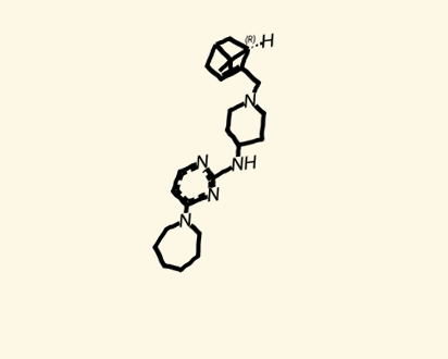 CC1(C)C2CC=C(CN3CCC(Nc4nccc(N5CCCCCC5)n4)CC3)[C@@H]1C2